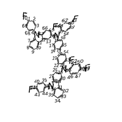 Fc1ccc(-n2c3ccccc3c3cc(N(c4ccc(-c5ccc(N(c6ccc7c(c6)c6ccccc6n7-c6ccc(F)cc6)c6ccc(F)cc6F)cc5)cc4)c4ccc(F)cc4F)ccc32)cc1